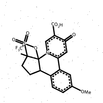 COc1ccc2c(c1)-c1cc(=O)c(C(=O)O)cn1C1(OS(=O)(=O)C(F)(F)F)C2CCC1(C)C